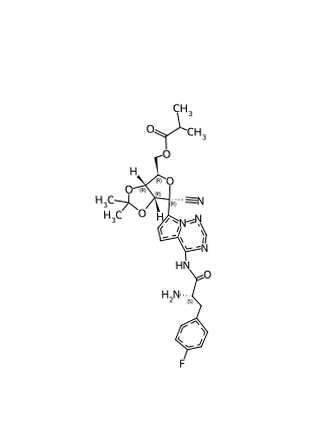 CC(C)C(=O)OC[C@H]1O[C@@](C#N)(c2ccc3c(NC(=O)[C@@H](N)Cc4ccc(F)cc4)ncnn23)[C@@H]2OC(C)(C)O[C@@H]21